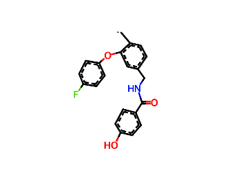 [CH2]c1ccc(CNC(=O)c2ccc(O)cc2)cc1Oc1ccc(F)cc1